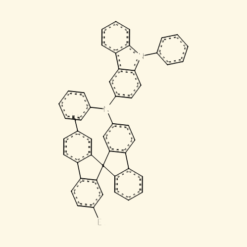 CCc1ccc2c(c1)C1(c3ccccc3-c3ccc(N(c4ccccc4)c4ccc5c(c4)c4ccccc4n5-c4ccccc4)cc31)c1cc(CC)ccc1-2